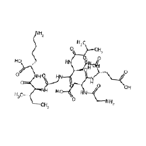 CC[C@H](C)[C@H](NC(=O)CNC(=O)[C@H](CC(=O)O)NC(=O)[C@@H](NC(=O)[C@H](CCC(=O)O)NC(=O)[C@H](CC(=O)O)NC(=O)CN)C(C)C)C(=O)N[C@@H](CCCCN)C(=O)O